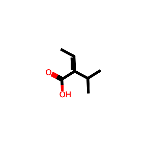 CC=C(C(=O)O)C(C)C